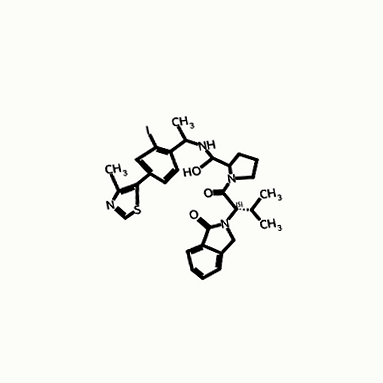 Cc1ncsc1-c1ccc(C(C)NC(O)C2CCCN2C(=O)[C@H](C(C)C)N2Cc3ccccc3C2=O)c(I)c1